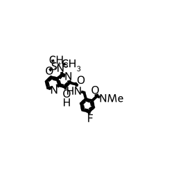 CNC(=O)c1cc(F)ccc1CNC(=O)c1nc(N(C)[S+](C)[O-])c2cccnc2c1O